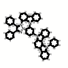 c1ccc(-c2nnn(-c3cccc4c5ccccc5n(-c5cccc(-n6c7ccccc7c7c6ccc6c8ccccc8n(-c8ccccc8)c67)c5)c34)c2-c2ccccc2)cc1